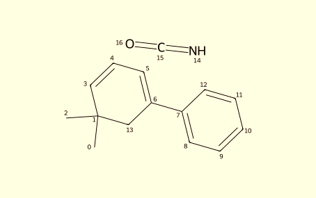 CC1(C)C=CC=C(c2ccccc2)C1.N=C=O